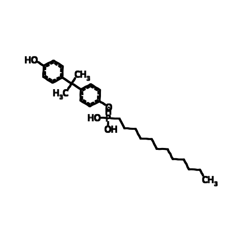 CCCCCCCCCCCC[PH](O)(O)Oc1ccc(C(C)(C)c2ccc(O)cc2)cc1